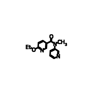 CCOc1ccc(C(=O)N(C)c2cccnc2)cn1